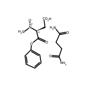 NC(=O)CCC(N)=O.O=C(O)C[C@@H](C(=O)Oc1ccccc1)[NH+]([O-])[SiH3]